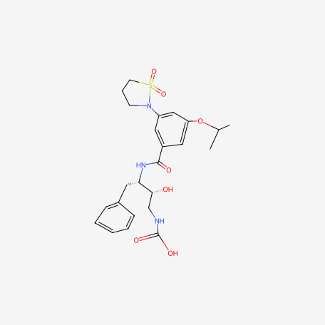 CC(C)Oc1cc(C(=O)N[C@@H](Cc2ccccc2)[C@H](O)CNC(=O)O)cc(N2CCCS2(=O)=O)c1